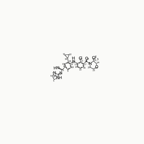 N=C(N=C1NCCN1)c1ccc(Nc2cccc(C(=O)N3CCOCC3C(F)(F)F)c2Cl)c(C2CC2)c1